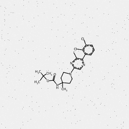 CC1(NC(=O)OC(C)(C)C)CCN(c2cnc(-c3cccc(Cl)c3Cl)c(I)n2)CC1